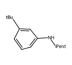 C[CH]CC(C)Nc1cccc(C(C)(C)C)c1